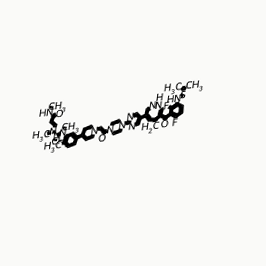 C=C1/C=C(c2cnc(N3CCN(C(=O)CN4CCC(C5=CC(N(C)N(C)N(C)CCC(=O)NC)=C(C)CC5)CC4)CC3)nc2)\C=N/N/C=C\1C(=O)c1c(F)ccc(NSC(C)C)c1F